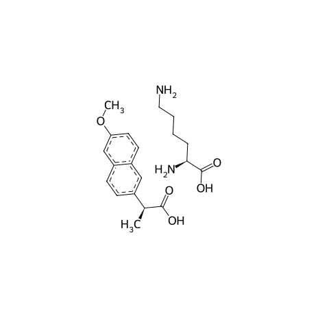 COc1ccc2cc([C@H](C)C(=O)O)ccc2c1.NCCCC[C@H](N)C(=O)O